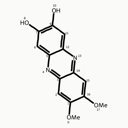 COc1cc2nc3cc(O)c(O)cc3nc2cc1OC